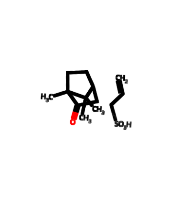 C=CCS(=O)(=O)O.CC12CCC(CC1=O)C2(C)C